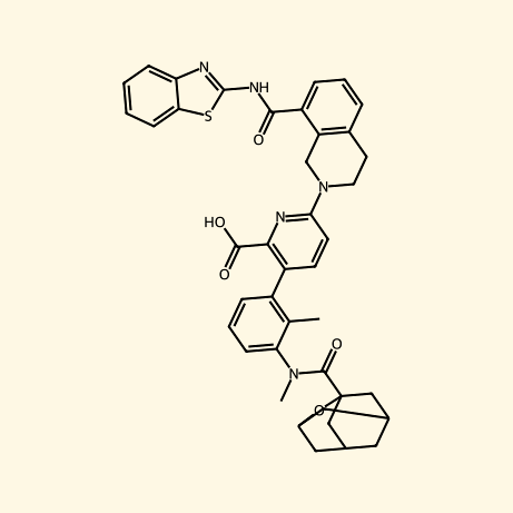 Cc1c(-c2ccc(N3CCc4cccc(C(=O)Nc5nc6ccccc6s5)c4C3)nc2C(=O)O)cccc1N(C)C(=O)C12CC3CC(CC(C3)O1)C2